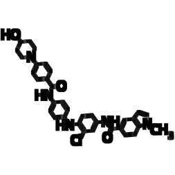 Cn1ccc2cc(C(=O)Nc3ccc(Nc4ccc(NC(=O)c5ccc(N6CCC(O)CC6)cc5)cc4)c(Cl)c3)ccc21